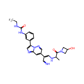 CC(N/C=C(\C=N)c1cnn2c(-c3cccc(NC(=O)NCC(F)(F)F)c3)cnc2c1)C(=O)N1CC(O)C1